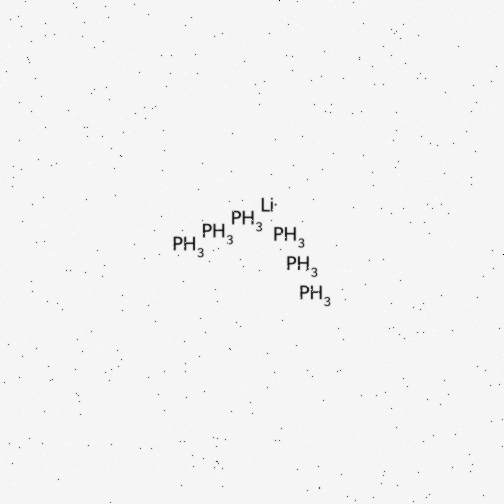 P.P.P.P.P.P.[Li]